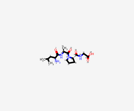 CC(C)C[C@H](N)C(=O)N[C@@H](C)C(=O)N1CCC[C@H]1C(=O)NCC(=O)O